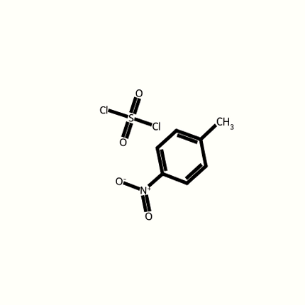 Cc1ccc([N+](=O)[O-])cc1.O=S(=O)(Cl)Cl